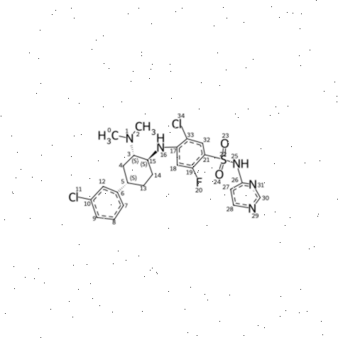 CN(C)[C@H]1C[C@@H](c2cccc(Cl)c2)CC[C@@H]1Nc1cc(F)c(S(=O)(=O)Nc2ccncn2)cc1Cl